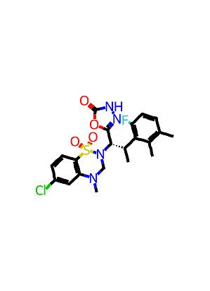 Cc1ccc(F)c(C(C)[C@@H](c2n[nH]c(=O)o2)N2CN(C)c3cc(Cl)ccc3S2(=O)=O)c1C